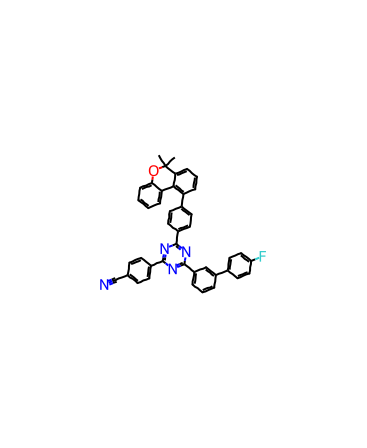 CC1(C)Oc2ccccc2-c2c(-c3ccc(-c4nc(-c5ccc(C#N)cc5)nc(-c5cccc(-c6ccc(F)cc6)c5)n4)cc3)cccc21